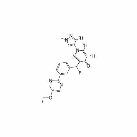 [2H]c1nn(C)cc1-n1nc(C(F)c2cccc(-c3ncc(OCC)cn3)c2)c(=O)c([2H])c1[2H]